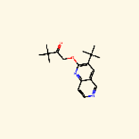 CC(C)(C)C(=O)COc1nc2ccncc2cc1C(C)(C)C